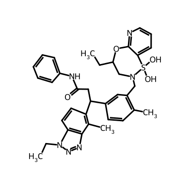 CCC1CN(Cc2cc(C(CC(=O)Nc3ccccc3)c3ccc4c(nnn4CC)c3C)ccc2C)S(O)(O)c2cccnc2O1